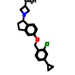 O=C(O)C1CN(C2CCc3cc(OCc4ccc(C5CC5)cc4Cl)ccc32)C1